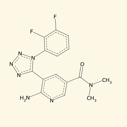 CN(C)C(=O)c1cnc(N)c(-c2nnnn2-c2cccc(F)c2F)c1